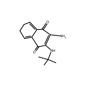 CC(C)(C)NC1=C(N)C(=O)C2=CCCC=C2C1=O